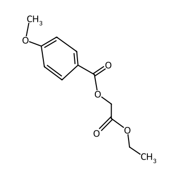 CCOC(=O)COC(=O)c1ccc(OC)cc1